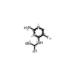 CCC(Nc1nc(N)ncc1F)C(C)(C)C